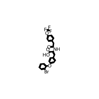 O=C(Cc1ccc(OC(F)(F)F)cc1)NC(=Cc1ccc(Oc2ccccc2Br)cc1)C(=O)O